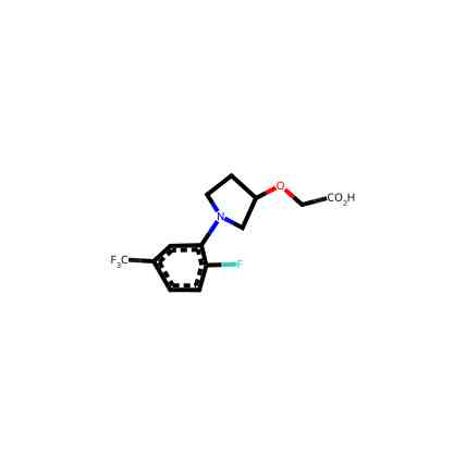 O=C(O)COC1CCN(c2cc(C(F)(F)F)ccc2F)C1